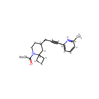 COC(=O)N1CCC(CC#Cc2cccc(C)n2)CC12CCC2